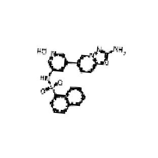 Cl.Nc1nc2ccc(-c3cncc(NS(=O)(=O)c4cccc5ccccc45)c3)cn2n1